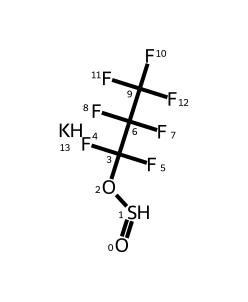 O=[SH]OC(F)(F)C(F)(F)C(F)(F)F.[KH]